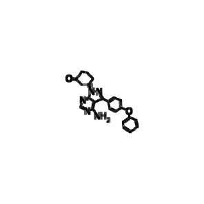 Nc1ncnc2c1c(-c1ccc(Oc3ccccc3)cc1)nn2[C@@H]1CCCC(=O)C1